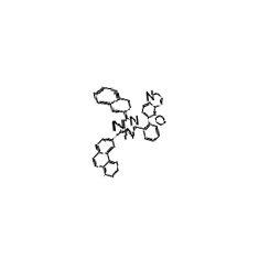 c1ccc2cc(-c3nc(-c4ccc5ccc6ccccc6c5c4)nc(-c4cccc5oc6c7cccnc7ccc6c45)n3)ccc2c1